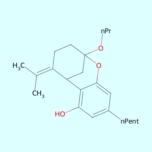 CCCCCc1cc(O)c2c(c1)OC1(OCCC)CCC(=C(C)C)C2C1